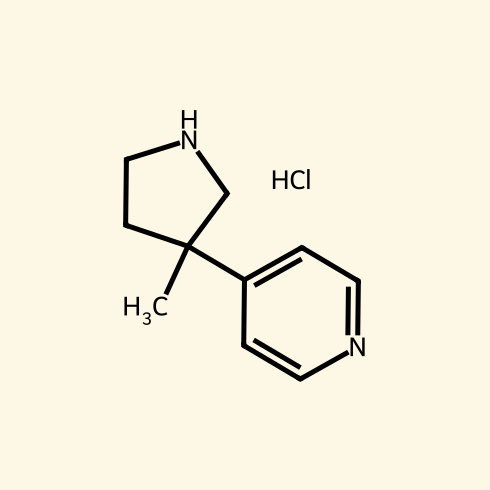 CC1(c2ccncc2)CCNC1.Cl